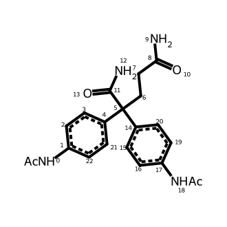 CC(=O)Nc1ccc(C(CCC(N)=O)(C(N)=O)c2ccc(NC(C)=O)cc2)cc1